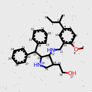 CCC(C)c1ccc(OC)c(CNC2C(CCO)CNC2C(c2ccccc2)c2ccccc2)c1